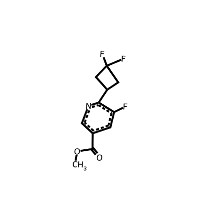 COC(=O)c1cnc(C2CC(F)(F)C2)c(F)c1